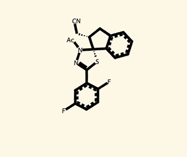 CC(=O)N1N=C(c2cc(F)ccc2F)S[C@]12c1ccccc1C[C@H]2CC#N